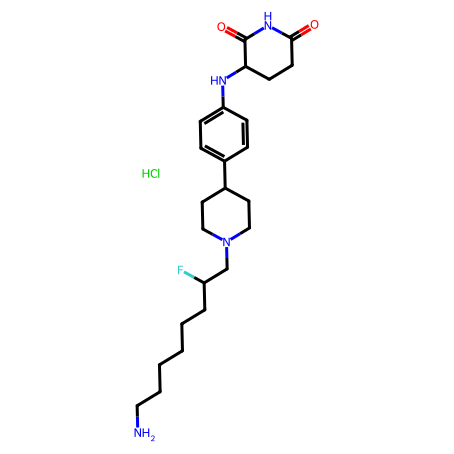 Cl.NCCCCCCC(F)CN1CCC(c2ccc(NC3CCC(=O)NC3=O)cc2)CC1